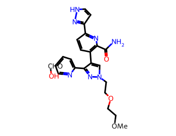 COCCOCCn1cc(-c2ccc(-c3cc[nH]n3)nc2C(N)=O)c(-c2ccccn2)n1.O=CO